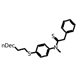 CCCCCCCCCCCCSc1ccc(N(C)C(=S)Cc2ccccc2)cc1